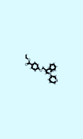 CCOC(=O)c1ccc(OCc2cn(-c3cccnc3)c3ccccc23)cc1